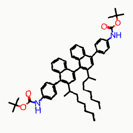 CCCCCCC(C)c1cc(-c2c(C(C)CCCCCC)cc(-c3ccc(NC(=O)OC(C)(C)C)cc3)c3ccccc23)c2ccccc2c1-c1ccc(NC(=O)OC(C)(C)C)cc1